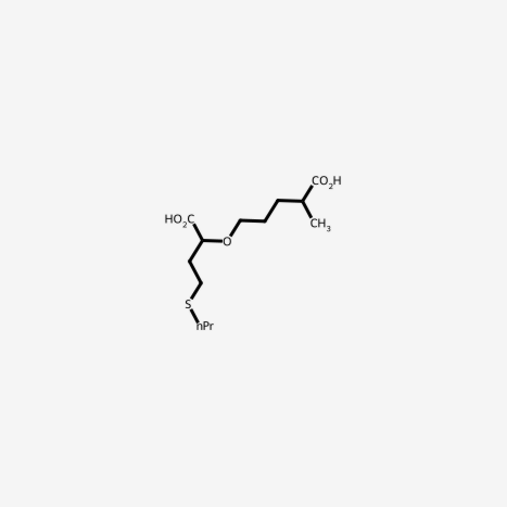 CCCSCCC(OCCCC(C)C(=O)O)C(=O)O